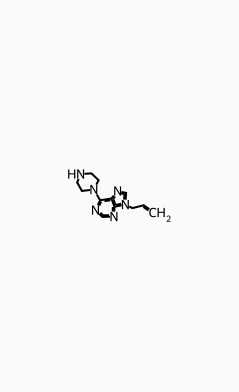 C=CCn1cnc2c(N3CCNCC3)ncnc21